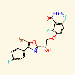 NC(=O)c1c(F)ccc(OCC(O)c2nc(-c3ccc(F)cc3)c(Br)o2)c1F